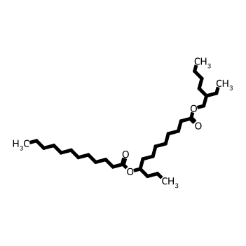 CCCCCCCCCCCC(=O)OC(CCC)CCCCCCCC(=O)OCC(CC)CCCC